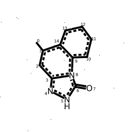 Cc1cc2n[nH]c(=O)n2c2ccccc12